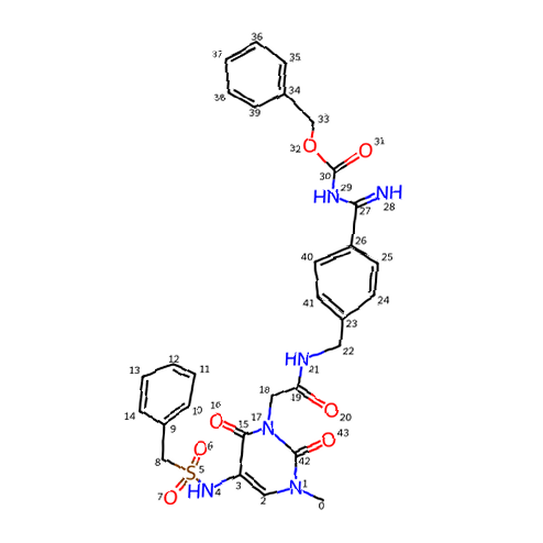 Cn1cc(NS(=O)(=O)Cc2ccccc2)c(=O)n(CC(=O)NCc2ccc(C(=N)NC(=O)OCc3ccccc3)cc2)c1=O